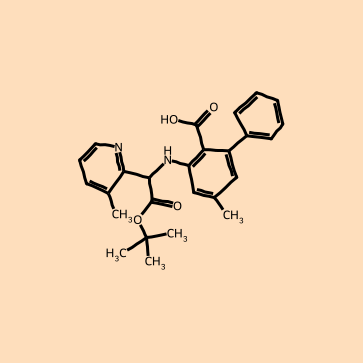 Cc1cc(NC(C(=O)OC(C)(C)C)c2ncccc2C)c(C(=O)O)c(-c2ccccc2)c1